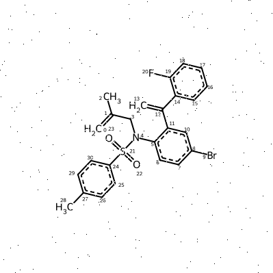 C=C(C)CN(c1ccc(Br)cc1C(=C)c1ccccc1F)S(=O)(=O)c1ccc(C)cc1